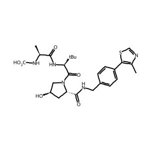 Cc1ncsc1-c1ccc(CNC(=O)[C@@H]2C[C@@H](O)CN2C(=O)[C@@H](NC(=O)[C@H](C)NC(=O)O)C(C)(C)C)cc1